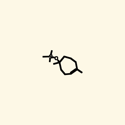 C/C1=C/CCC(C)(O[Si](C)(C)C)CCC1